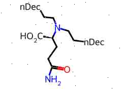 CCCCCCCCCCCCN(CCCCCCCCCCCC)[C@@H](CCC(N)=O)C(=O)O